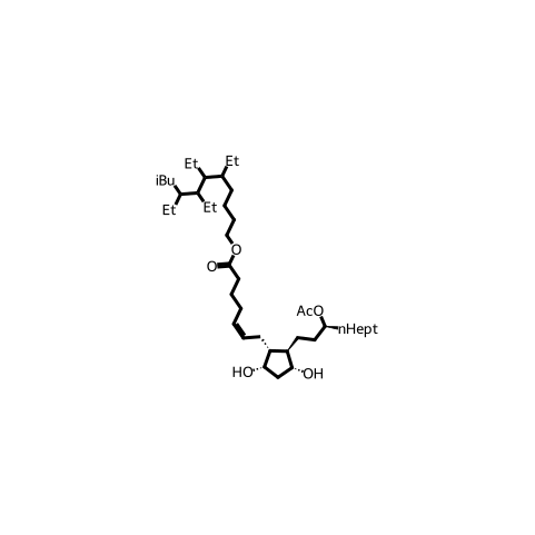 CCCCCCC[C@@H](CC[C@@H]1[C@@H](C/C=C\CCCC(=O)OCCCCC(CC)C(CC)C(CC)C(CC)C(C)CC)[C@@H](O)C[C@H]1O)OC(C)=O